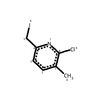 Cc1ccc(CI)nc1Cl